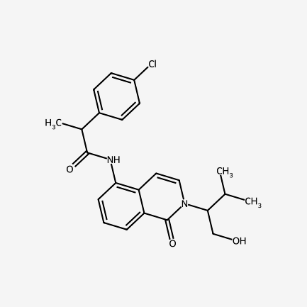 CC(C(=O)Nc1cccc2c(=O)n(C(CO)C(C)C)ccc12)c1ccc(Cl)cc1